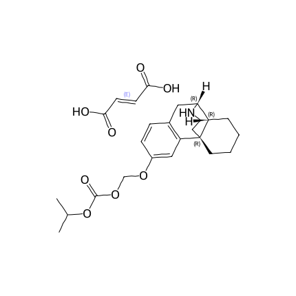 CC(C)OC(=O)OCOc1ccc2c(c1)[C@@]13CCCC[C@H]1[C@@H](C2)NCC3.O=C(O)/C=C/C(=O)O